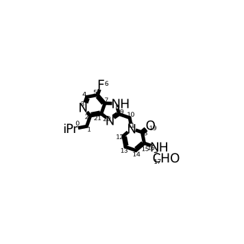 CC(C)Cc1ncc(F)c2[nH]c(Cn3cccc(NC=O)c3=O)nc12